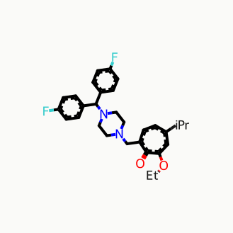 CCOc1cc(C(C)C)ccc(CN2CCN(C(c3ccc(F)cc3)c3ccc(F)cc3)CC2)c1=O